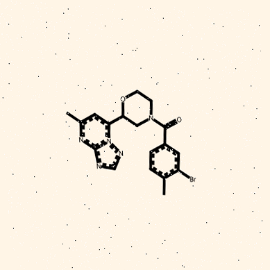 Cc1cc(C2CN(C(=O)c3ccc(C)c(Br)c3)CCO2)n2ncnc2n1